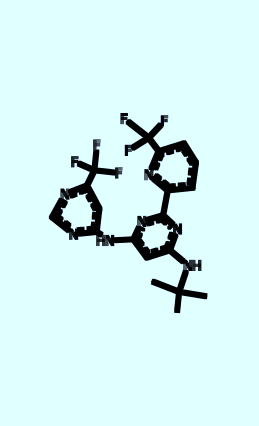 CC(C)(C)Nc1cc(Nc2cc(C(F)(F)F)ncn2)nc(-c2cccc(C(F)(F)F)n2)n1